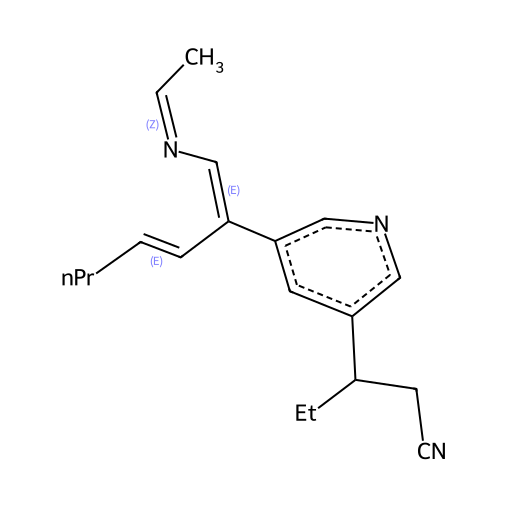 C\C=N/C=C(\C=C\CCC)c1cncc(C(CC)CC#N)c1